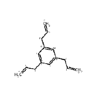 C=C[CH]c1cc(CC=C)cc(CC=C)c1